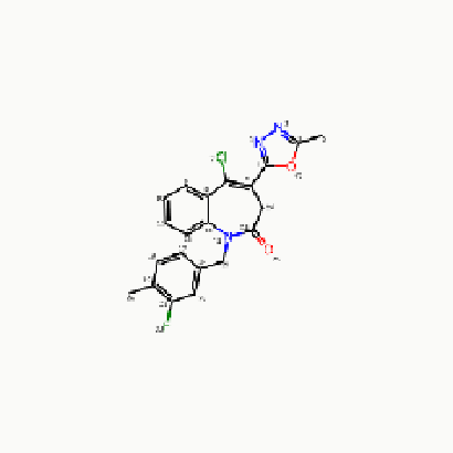 Cc1nnc(C2=C(Cl)c3ccccc3N(Cc3ccc(C)c(F)c3)C(=O)C2)o1